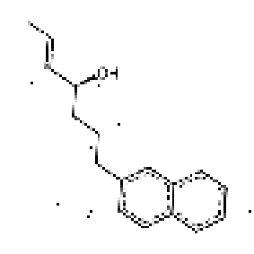 C/C=C/[C@@H](O)CCCc1ccc2ccccc2c1